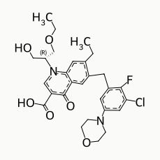 CCOC[C@@H](CO)n1cc(C(=O)O)c(=O)c2cc(Cc3cc(N4CCOCC4)cc(Cl)c3F)c(CC)cc21